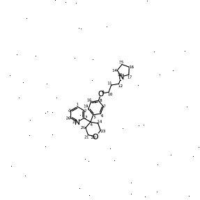 c1ccc(C2(c3ccc(OCCCN4CCCC4)cc3)CCOCC2)nc1